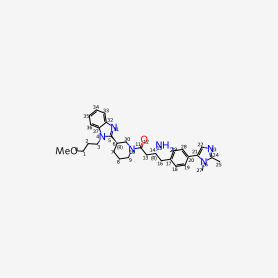 COCCCn1c([C@@H]2CCCN(C(=O)C[C@H](N)Cc3ccc(-c4cnc(C)n4C)cc3)C2)nc2ccccc21